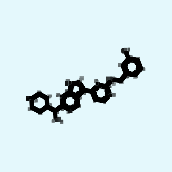 NC(c1ncc2c(-c3ccnc(NCc4cccc(Cl)c4)n3)n[nH]c2n1)C1CCNCC1